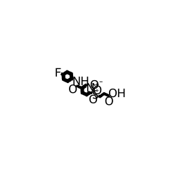 O=C(O)CCS(=O)(=O)c1ccc(C(=O)Nc2ccc(F)cc2)c[n+]1[O-]